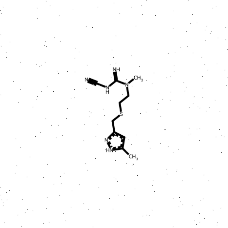 Cc1cc(CSCCN(C)C(=N)NC#N)n[nH]1